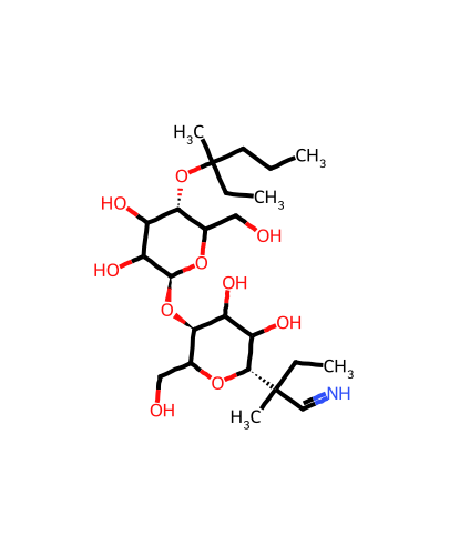 CCCC(C)(CC)O[C@@H]1C(CO)O[C@@H](O[C@@H]2C(CO)O[C@@H](C(C)(C=N)CC)C(O)C2O)C(O)C1O